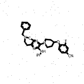 CC(C)Nc1nc2c(nc1N1CCC(Oc3ccc(C#N)cc3F)CC1)CN(Cc1ccccc1)CC2